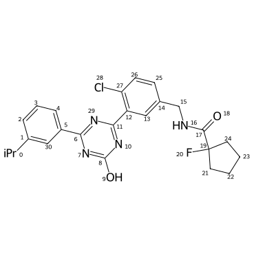 CC(C)c1cccc(-c2nc(O)nc(-c3cc(CNC(=O)C4(F)CCCC4)ccc3Cl)n2)c1